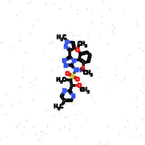 COc1cccc(OC)c1-n1c(NS(=O)(=O)C(C)C(OC)c2ncc(C)cn2)nnc1-c1ccn(C)n1